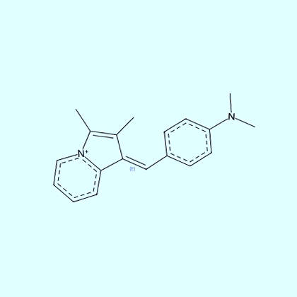 CC1=C(C)[n+]2ccccc2/C1=C/c1ccc(N(C)C)cc1